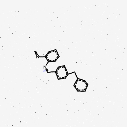 C=Nc1ccccc1/N=C\c1ccc(Cc2ccccc2)cc1